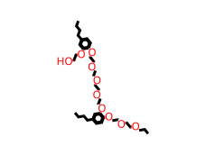 CCCCc1ccc(OCCOCCOCCOCCOc2cc(CCCC)ccc2OCCOCCOCCC)c(OCCO)c1